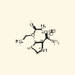 CCOC(C)=O.Cl.Cl.NC(=O)C1CSCN1